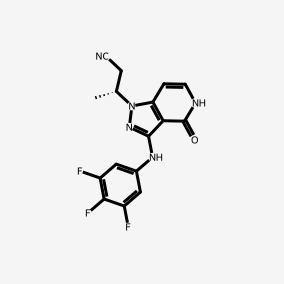 C[C@H](CC#N)n1nc(Nc2cc(F)c(F)c(F)c2)c2c(=O)[nH]ccc21